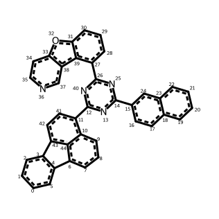 c1ccc2c(c1)-c1cccc3c(-c4nc(-c5ccc6ccccc6c5)nc(-c5cccc6oc7ccncc7c56)n4)ccc-2c13